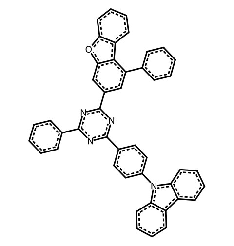 c1ccc(-c2nc(-c3ccc(-n4c5ccccc5c5ccccc54)cc3)nc(-c3cc(-c4ccccc4)c4c(c3)oc3ccccc34)n2)cc1